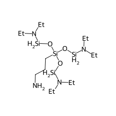 CCN(CC)[SiH2]O[Si](CCCN)(O[SiH2]N(CC)CC)O[SiH2]N(CC)CC